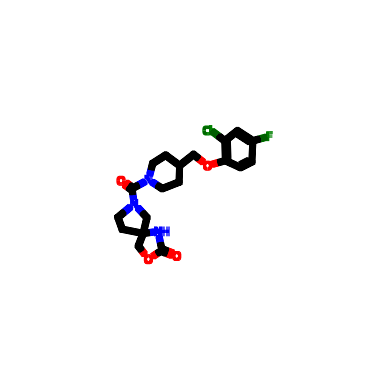 O=C1NC2(CCN(C(=O)N3CCC(COc4ccc(F)cc4Cl)CC3)C2)CO1